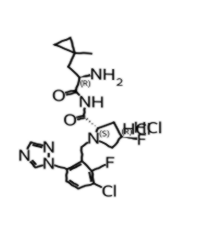 CC1(C[C@@H](N)C(=O)NC(=O)[C@@H]2C[C@@H](F)CN2Cc2c(-n3cncn3)ccc(Cl)c2F)CC1.Cl.Cl